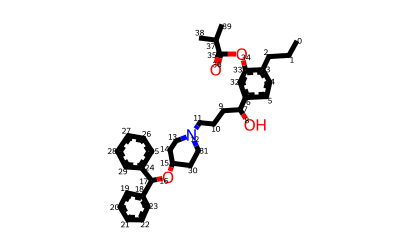 CCCc1ccc(C(O)CCCN2CCC(OC(c3ccccc3)c3ccccc3)CC2)cc1OC(=O)C(C)C